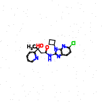 C[C@@](O)(CC(=O)Nc1nc2ccc(Cl)nc2n1C1CCC1)c1ccccn1